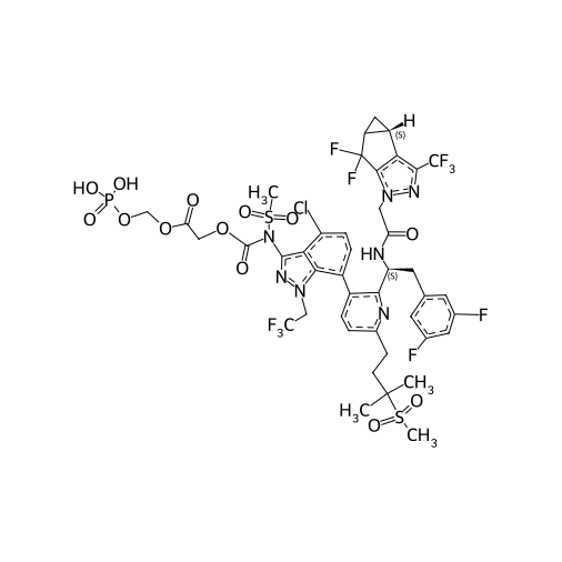 CC(C)(CCc1ccc(-c2ccc(Cl)c3c(N(C(=O)OCC(=O)OCOP(=O)(O)O)S(C)(=O)=O)nn(CC(F)(F)F)c23)c([C@H](Cc2cc(F)cc(F)c2)NC(=O)Cn2nc(C(F)(F)F)c3c2C(F)(F)C2C[C@H]32)n1)S(C)(=O)=O